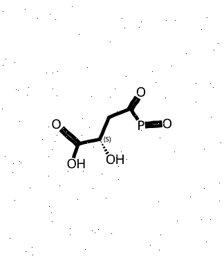 O=PC(=O)C[C@H](O)C(=O)O